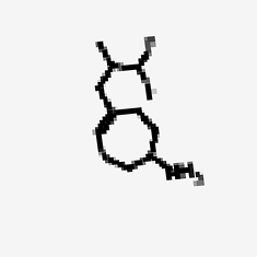 CC(CC1=CCCC(N)CC1)C(F)F